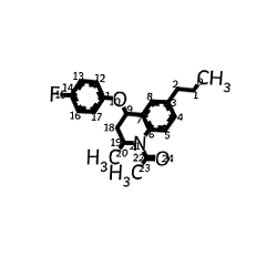 CCCc1ccc2c(c1)C(Oc1ccc(F)cc1)CC(C)N2C(C)=O